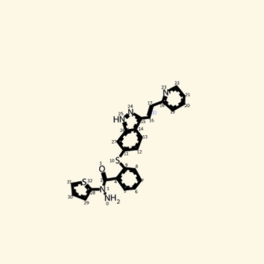 NN(C(=O)c1ccccc1Sc1ccc2c(/C=C/c3ccccn3)n[nH]c2c1)c1cccs1